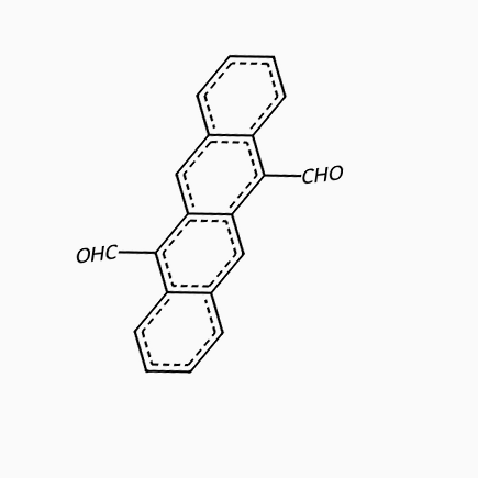 O=Cc1c2ccccc2cc2c(C=O)c3ccccc3cc12